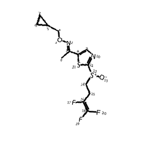 C/C(=N\OCC1CC1)c1cnc([S+]([O-])CCC(F)=C(F)F)s1